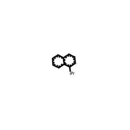 CC(C)c1[c]ccc2ccccc12